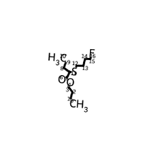 CCCCOC(=O)C(CCC)SCCCCF